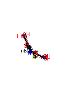 CCCCc1ncc(/C=C(\Cc2cccs2)C(=O)OCCCCCON(O)O)n1Cc1ccc(C(=O)OCCCCCON(O)O)cc1